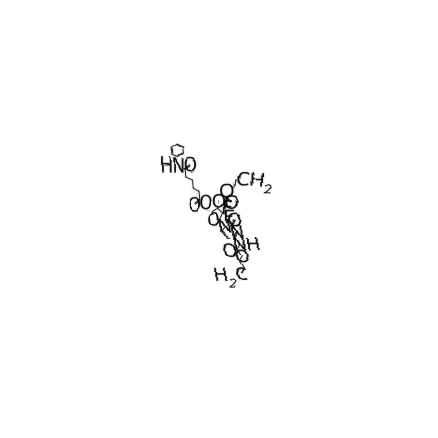 C=CCOC(=O)Nc1ccn([C@@H]2O[C@H](COC(=O)CCCCC(=O)Nc3ccccc3)[C@@H](OC(=O)OCC=C)C2(F)F)c(=O)n1